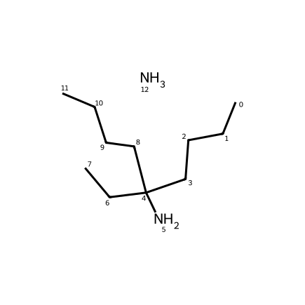 CCCCC(N)(CC)CCCC.N